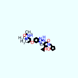 C=N/C(=C\C(=C/C)Oc1ccc2nc(Nc3cc(C4CC4)cn(CC4CCCC4O)c3=O)n(C)c2c1)NC(C)=O